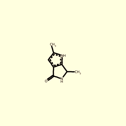 Cc1cc2c([nH]1)C(C)NC2=O